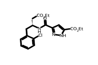 CCOC(=O)C[C@@H](Cc1ccccc1Cl)NC(=O)c1cc(C(=O)OCC)[nH]n1